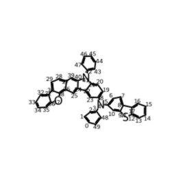 c1ccc(N(c2ccc3c(c2)sc2ccccc23)c2ccc3c(c2)c2cc4c(ccc5c6ccccc6oc45)cc2n3-c2ccccc2)cc1